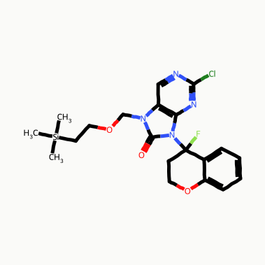 C[Si](C)(C)CCOCn1c(=O)n(C2(F)CCOc3ccccc32)c2nc(Cl)ncc21